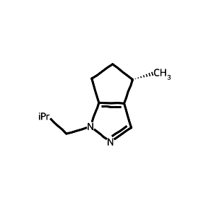 CC(C)Cn1ncc2c1CC[C@@H]2C